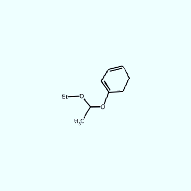 CCOC(C)OC1=CC=CCC1